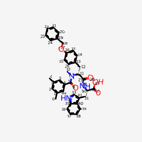 Cc1cc(C)cc(C(=O)N(C)[C@H](Cc2ccc(OCc3ccccc3)cc2)C(=O)N[C@@H](Cc2c[nH]c3ccccc23)C(=O)O)c1